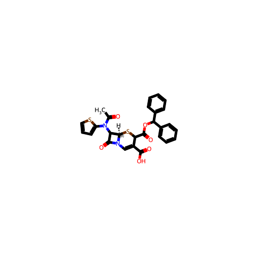 CC(=O)N(c1cccs1)C1C(=O)N2C=C(C(=O)O)C(C(=O)OC(c3ccccc3)c3ccccc3)S[C@H]12